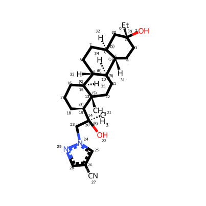 CC[C@@]1(O)CC[C@H]2[C@@H](CC[C@@H]3[C@@H]2CC[C@@]2(C)[C@H]3CCC[C@@H]2[C@@](C)(O)Cn2cc(C#N)cn2)C1